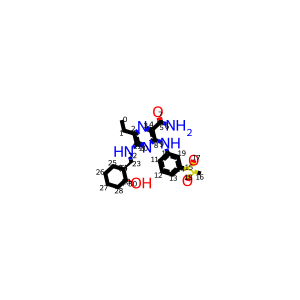 CCc1nc(C(N)=O)c(Nc2cccc(S(C)(=O)=O)c2)nc1NC[C@@H]1CCCC[C@H]1O